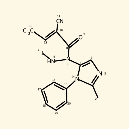 Cc1ncc(N(NI)C(=O)C(C#N)=CC(Cl)(Cl)Cl)n1-c1ccccc1